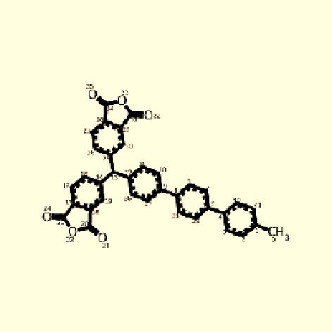 Cc1ccc(-c2ccc(-c3ccc(C(c4ccc5c(c4)C(=O)OC5=O)c4ccc5c(c4)C(=O)OC5=O)cc3)cc2)cc1